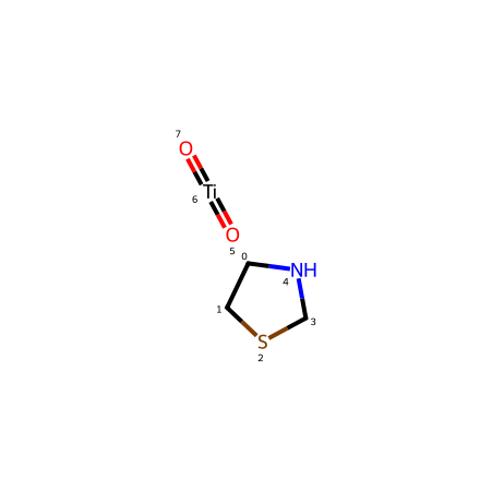 C1CSCN1.[O]=[Ti]=[O]